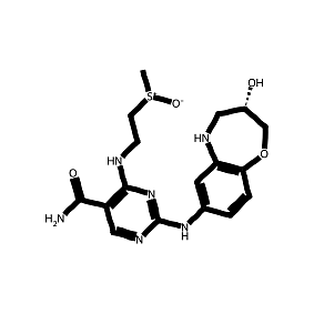 C[S+]([O-])CCNc1nc(Nc2ccc3c(c2)NC[C@H](O)CO3)ncc1C(N)=O